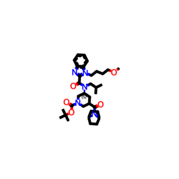 COCCCCn1c(C(=O)N(CC(C)C)[C@H]2CC(C(=O)N3C4CCC3CC4)CN(C(=O)OC(C)(C)C)C2)nc2ccccc21